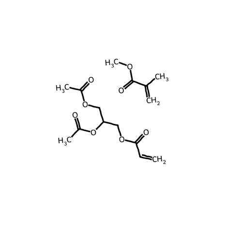 C=C(C)C(=O)OC.C=CC(=O)OCC(COC(C)=O)OC(C)=O